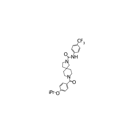 CC(C)Oc1ccc(C(=O)N2CCC3(CCN(C(=O)Nc4ccc(C(F)(F)F)cc4)C3)CC2)cc1